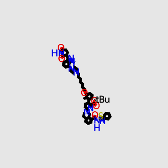 Cc1c(OCCCCCCCN2CCN(c3cccc4c(C5CCC(=O)NC5=O)nn(C)c34)CC2)cccc1-c1ccc(N2CCc3cccc(C(=O)Nc4nc5ccccc5s4)c3C2)nc1C(=O)OC(C)(C)C